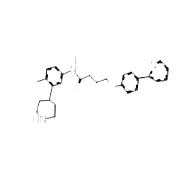 Cc1ccc(NC(=O)CCCOc2ccc(-c3ccccn3)cc2)cc1C1CCNCC1